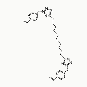 C=Cc1ccc(Cn2nnc(CCCCCCCCCCc3nnn(Cc4ccc(C=C)cc4)n3)n2)cc1